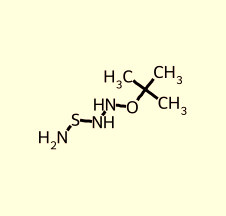 CC(C)(C)ONNSN